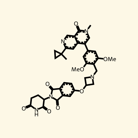 COc1cc(-c2cn(C)c(=O)c3cnc(C4(C)CC4)cc23)cc(OC)c1CN1CC(Oc2ccc3c(c2)C(=O)N(C2CCC(=O)NC2=O)C3=O)C1